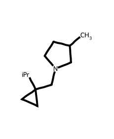 CC1CCN(CC2(C(C)C)CC2)C1